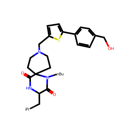 CCCCN1C(=O)C(CC(C)C)NC(=O)C12CCN(Cc1ccc(-c3ccc(CO)cc3)s1)CC2